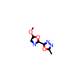 COc1cnc(-c2nnc(C)o2)o1